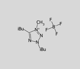 CCC(C)c1nn(C(C)CC)n[n+]1C.F[B-](F)(F)F